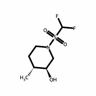 C[C@@H]1CCN(S(=O)(=O)C(F)F)C[C@H]1O